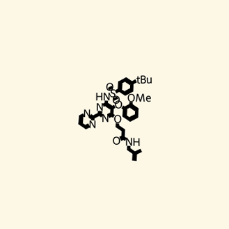 C=C(C)CNC(=O)CCOc1nc(-c2ncccn2)nc(NS(=O)(=O)c2ccc(C(C)(C)C)cc2)c1Oc1ccccc1OC